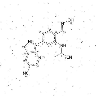 CC(C#N)Nc1cc(-n2ncc3cc(C#N)cnc32)ncc1C=NO